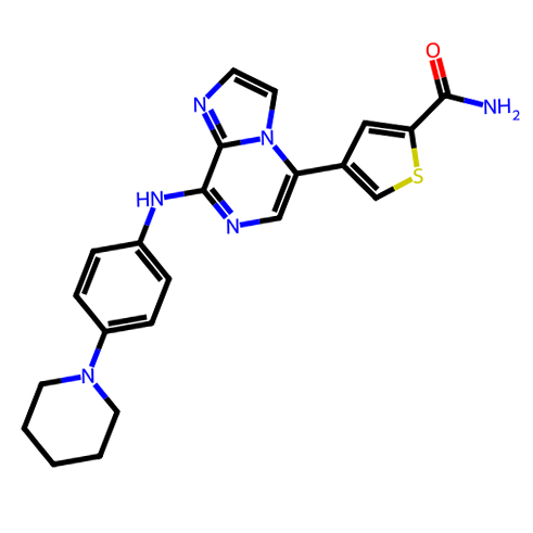 NC(=O)c1cc(-c2cnc(Nc3ccc(N4CCCCC4)cc3)c3nccn23)cs1